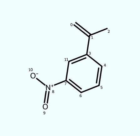 C=C(C)c1cccc([N+](=O)[O-])c1